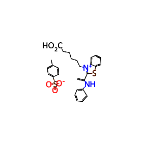 C=C(Nc1ccccc1)c1sc2ccccc2[n+]1CCCCCC(=O)O.Cc1ccc(S(=O)(=O)[O-])cc1